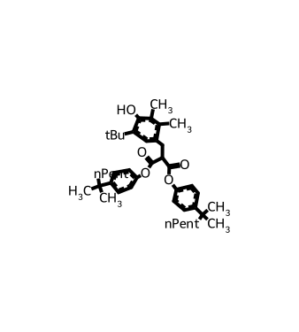 CCCCCC(C)(C)c1ccc(OC(=O)C(Cc2cc(C(C)(C)C)c(O)c(C)c2C)C(=O)Oc2ccc(C(C)(C)CCCCC)cc2)cc1